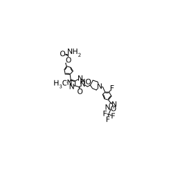 Cn1nc2c(=O)n(CC3(O)CCN(Cc4ccc(-c5noc(C(F)(F)F)n5)cc4F)CC3)cnc2c1-c1ccc(COC(N)=O)cc1